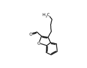 CCCCc1c(C=O)oc2ccccc12